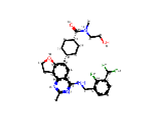 Cc1nc(NCc2cccc(C(F)F)c2F)c2cc([C@H]3CC[C@@H](C(=O)N(C)CCO)CC3)c3c(c2n1)CCO3